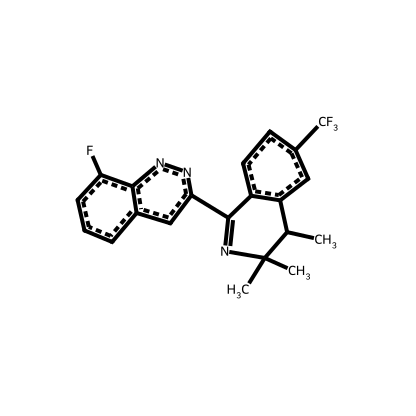 CC1c2cc(C(F)(F)F)ccc2C(c2cc3cccc(F)c3nn2)=NC1(C)C